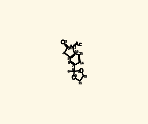 CC(=O)N1C(=O)Cc2cc(C3(C)OCCO3)ccc21